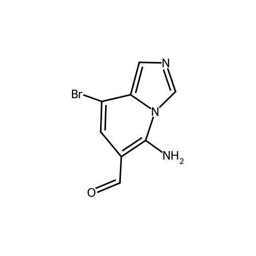 Nc1c(C=O)cc(Br)c2cncn12